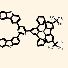 CC(C)(C)c1ccc2c(c1)c1cc(C(C)(C)C)ccc1n2-c1c(-c2ccccc2)cc(-c2nc(-c3ccc4oc5ccccc5c4c3)nc(-c3ccc4oc5ccccc5c4c3)n2)cc1-c1ccccc1